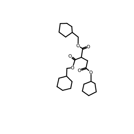 O=C(CC(C(=O)OCC1CCCCC1)C(=O)OCC1CCCCC1)OC1CCCCC1